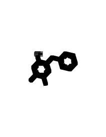 Cc1cc(O)c(Cc2ccccc2)cc1C